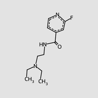 CCN(CC)CCNC(=O)c1ccnc(F)c1